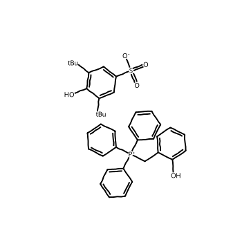 CC(C)(C)c1cc(S(=O)(=O)[O-])cc(C(C)(C)C)c1O.Oc1ccccc1C[P+](c1ccccc1)(c1ccccc1)c1ccccc1